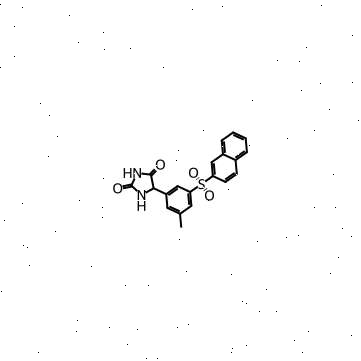 Cc1cc(C2NC(=O)NC2=O)cc(S(=O)(=O)c2ccc3ccccc3c2)c1